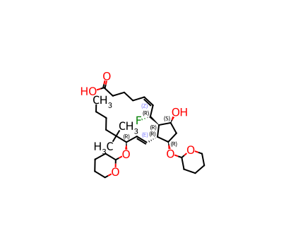 CCCCC(C)(C)[C@@H](/C=C/[C@@H]1[C@@H]([C@H](F)/C=C\CCCC(=O)O)[C@@H](O)C[C@H]1OC1CCCCO1)OC1CCCCO1